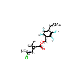 CSCc1c(F)c(F)c(COC(=O)C2C(/C=C(/Cl)C#N)C2(C)C)c(F)c1F